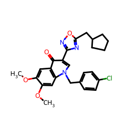 COc1cc2c(=O)c(-c3noc(CC4CCCC4)n3)cn(Cc3ccc(Cl)cc3)c2cc1OC